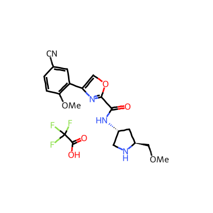 COC[C@@H]1C[C@@H](NC(=O)c2nc(-c3cc(C#N)ccc3OC)co2)CN1.O=C(O)C(F)(F)F